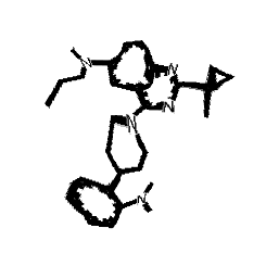 CCCN(C)c1ccc2nc(C3(C)CC3)nc(N3CCC(c4ccccc4N(C)C)CC3)c2c1